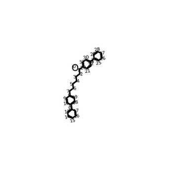 O=C(CCCCCCc1ccc(-c2ccccc2)cc1)c1ccc(-c2ccccc2)cc1